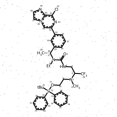 CCN(C(=O)NCC(N(C)CCO[Si](c1ccccc1)(c1ccccc1)C(C)(C)C)C(F)(F)F)[C@H](C)c1cccc(-c2cn3ccnc3c(Cl)n2)c1